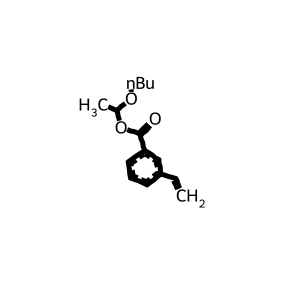 C=Cc1cccc(C(=O)OC(C)OCCCC)c1